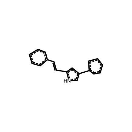 C(=Cc1cc(-c2ccccc2)c[nH]1)c1ccccc1